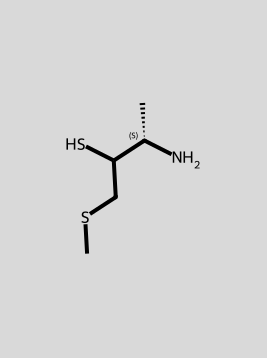 CSCC(S)[C@H](C)N